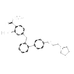 COC(=O)c1ccc(Cc2ccccc2-c2ccc(OCCN3CCCC3)cc2)cc1C